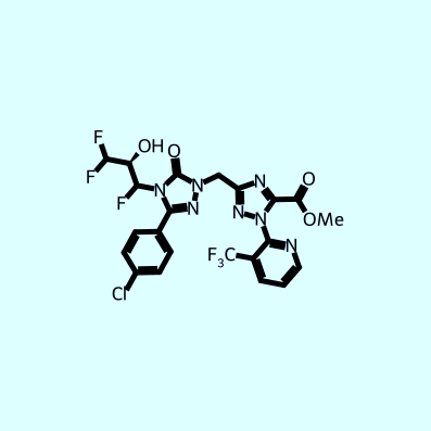 COC(=O)c1nc(Cn2nc(-c3ccc(Cl)cc3)n(C(F)[C@H](O)C(F)F)c2=O)nn1-c1ncccc1C(F)(F)F